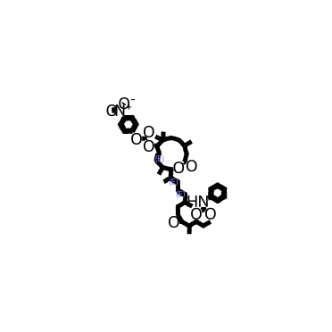 CCC(OC(=O)Nc1ccccc1)C(C)C1OC1CC(C)/C=C/C=C(\C)C1OC(=O)CC(C)CCC(C)(C)C(OC(=O)Oc2ccc([N+](=O)[O-])cc2)/C=C/C1C